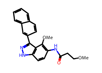 COCCC(=O)Nc1ccc2[nH]nc(-c3ccc4ccccc4c3)c2c1OC